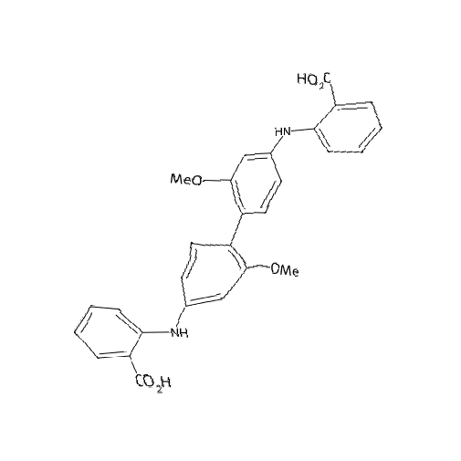 COc1cc(Nc2ccccc2C(=O)O)ccc1-c1ccc(Nc2ccccc2C(=O)O)cc1OC